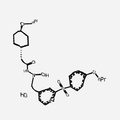 CCCOc1ccc(S(=O)(=O)c2cc(CN(O)NC(=O)C[C@H]3CC[C@H](OCCC)CC3)ccn2)cc1.Cl